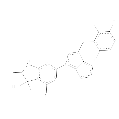 CC1(C)c2c(N)nc(-n3nc(Cc4c(F)ccc(F)c4F)c4cscc43)nc2NC1C=O